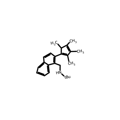 CC1=C(C)C(C)C(c2ccc3ccccc3c2CNC(C)(C)C)=C1C